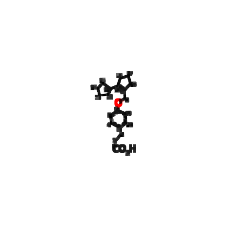 O=C(O)CCc1ccc(OCC2=C(C3CCCC3)CCC2)cc1